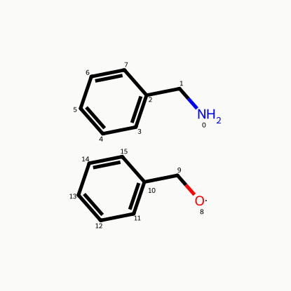 NCc1ccccc1.[O]Cc1ccccc1